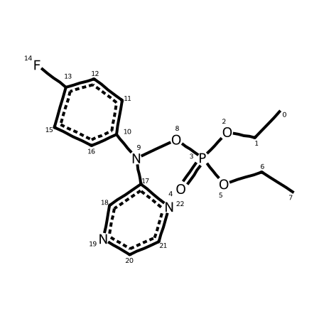 CCOP(=O)(OCC)ON(c1ccc(F)cc1)c1cnccn1